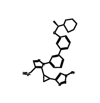 CC(C)n1cc(C2CC2c2c(C(=O)O)cnn2-c2cccc(-c3cccc(O[C@@H](C)C4CCCCC4)c3)c2)nn1